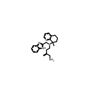 C=C(CN)CCN(Cc1nc2ccccc2[nH]1)C1(C)CCCc2cccnc21